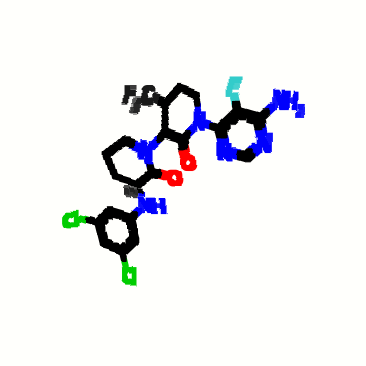 Nc1ncnc(N2CCC(C(F)(F)F)C(N3CCC[C@@H](Nc4cc(Cl)cc(Cl)c4)C3=O)C2=O)c1F